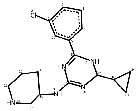 Clc1cccc(C2=NC(NC3CCCNC3)=NC(C3CC3)N2)c1